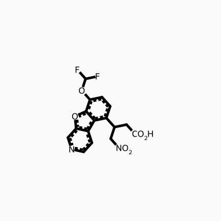 O=C(O)CC(C[N+](=O)[O-])c1ccc(OC(F)F)c2oc3cnccc3c12